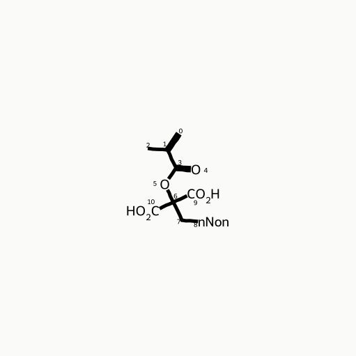 C=C(C)C(=O)OC(CCCCCCCCCC)(C(=O)O)C(=O)O